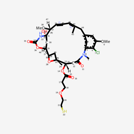 COc1cc2cc(c1Cl)N(C)C(=O)C[C@H](OC(=O)CCOCCS)[C@@]1(C)C[C@@](C)(O1)[C@@H]1C[C@@](O)(NC(=O)O1)[C@H](OC)/C=C/C=C(\C)C2